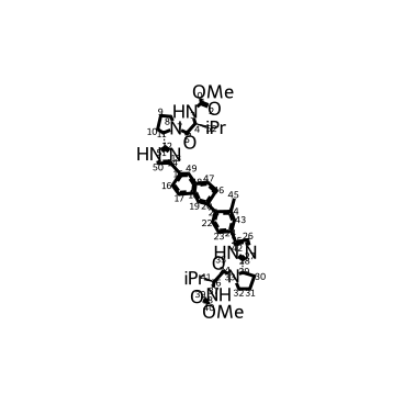 COC(=O)N[C@H](C(=O)N1CCC[C@H]1c1nc(-c2ccc3cc(-c4ccc(-c5cnc([C@@H]6CCCN6C(=O)[C@@H](NC(=O)OC)C(C)C)[nH]5)cc4C)ccc3c2)c[nH]1)C(C)C